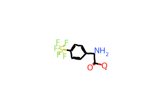 COC(=O)C(N)c1ccc(S(F)(F)(F)(F)F)cc1